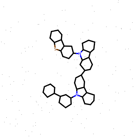 C1CCC(C2CCCC(N3C4CCCCC4C4CC(C5CCC6C7CCCCC7N(C7CCC8SC9CCCCC9C8C7)C6C5)CCC43)C2)CC1